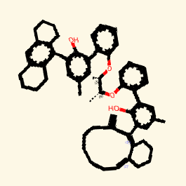 C=C1CCCCC/C=C2/CCCC/C2=C/1c1cc(C)cc(-c2ccccc2O[C@H](C)[C@H](C)Oc2ccccc2-c2cc(C)cc(-c3c4c(cc5c3CCCC5)CCCC4)c2O)c1O